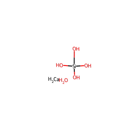 O.O[Si](O)(O)O.[CaH2]